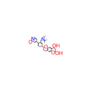 CCN(CC1=CC(C2CCc3ccc([C@H](O)[C@H](C)C(=O)O)cc3O2)CC=C1c1ccnc(OC)c1)C(C)C